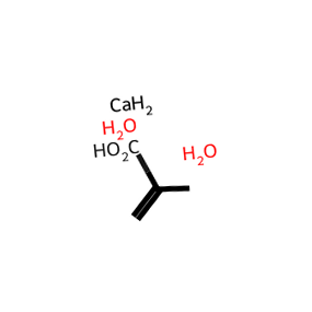 C=C(C)C(=O)O.O.O.[CaH2]